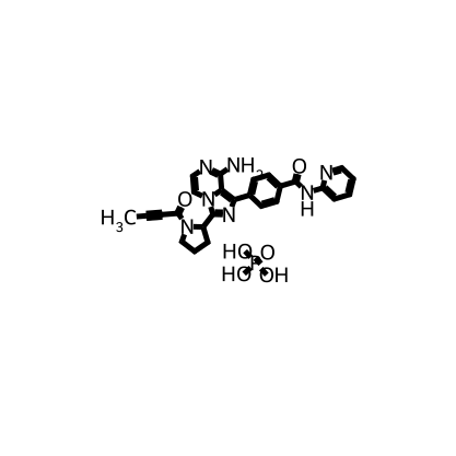 CC#CC(=O)N1CCCC1c1nc(-c2ccc(C(=O)Nc3ccccn3)cc2)c2c(N)nccn12.O=P(O)(O)O